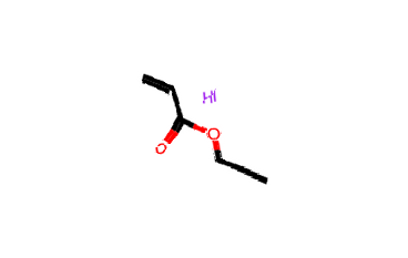 C=CC(=O)OCC.I